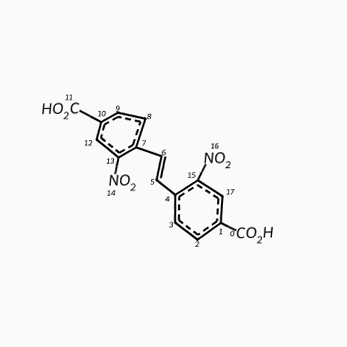 O=C(O)c1ccc(/C=C/c2ccc(C(=O)O)cc2[N+](=O)[O-])c([N+](=O)[O-])c1